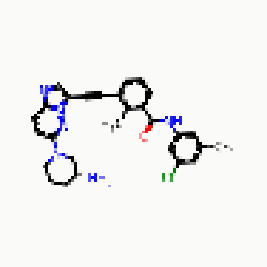 Cc1c(C#Cc2cnc3ccc(N4CCC[C@@H](N)C4)nn23)cccc1C(=O)Nc1cc(Cl)cc(C(F)(F)F)c1